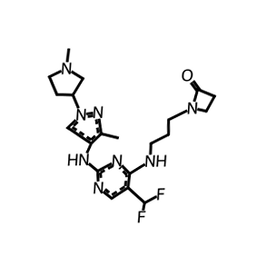 Cc1nn(C2CCN(C)C2)cc1Nc1ncc(C(F)F)c(NCCCN2CCC2=O)n1